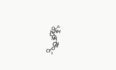 O=C(Nc1nccc2nn(Cc3ccc(OCC(F)(F)F)nn3)cc12)C1CC1